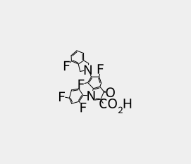 O=C(O)c1cn(-c2ccc(F)cc2F)c2c(F)c(N3Cc4cccc(F)c4C3)c(F)cc2c1=O